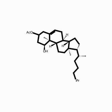 CC(=O)OC1CC2=CC[C@H]3[C@@H]4CC[C@H]([C@H](C)CCCC(C)C)[C@@]4(C)CC[C@@H]3[C@@]2(C)[C@@H](O)C1